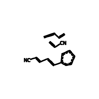 C=CC#N.C=CC=C.N#CC=CC=Cc1ccccc1